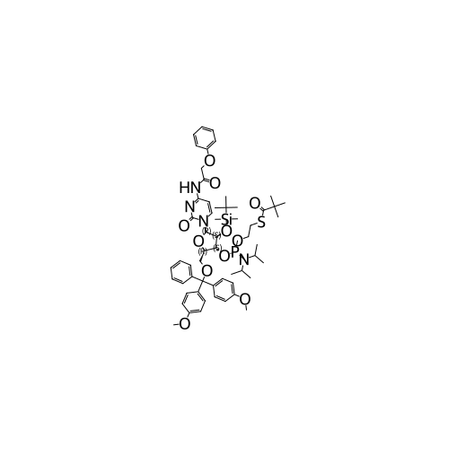 COc1ccc(C(OC[C@H]2O[C@@H](n3ccc(NC(=O)COc4ccccc4)nc3=O)[C@@H](O[Si](C)(C)C(C)(C)C)[C@H]2OP(OCCSC(=O)C(C)(C)C)N(C(C)C)C(C)C)(c2ccccc2)c2ccc(OC)cc2)cc1